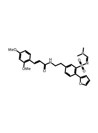 COc1ccc(/C=C/C(=O)NCCc2ccc(-c3ccco3)c(S(=O)(=O)/N=C\N(C)C)c2)c(OC)c1